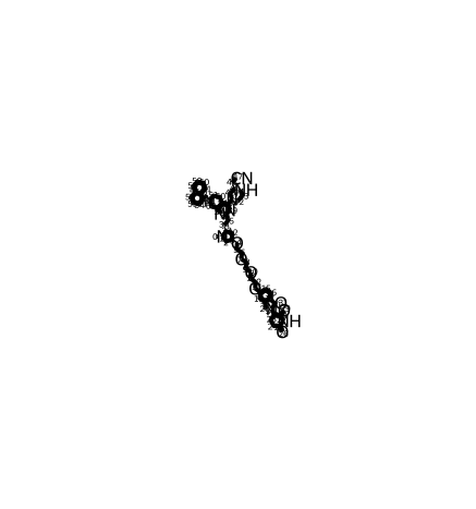 CN1C[C@H](OCCOCCOCCOc2ccc3c(c2)CN(C2CCC(=O)NC2=O)C3=O)C[C@H]1CCc1nc2c(c(N3CCN[C@@H](CC#N)C3)n1)CCN(c1cccc3ccccc13)C2